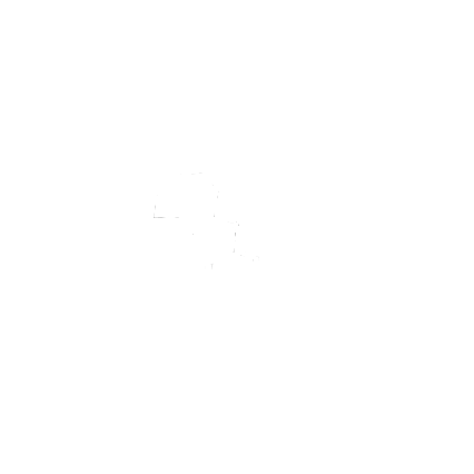 O=C(Cl)OC1/C=C/CCCCC1